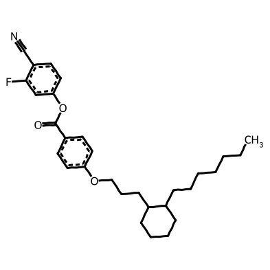 CCCCCCCC1CCCCC1CCCOc1ccc(C(=O)Oc2ccc(C#N)c(F)c2)cc1